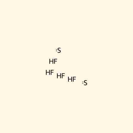 F.F.F.F.[S].[S]